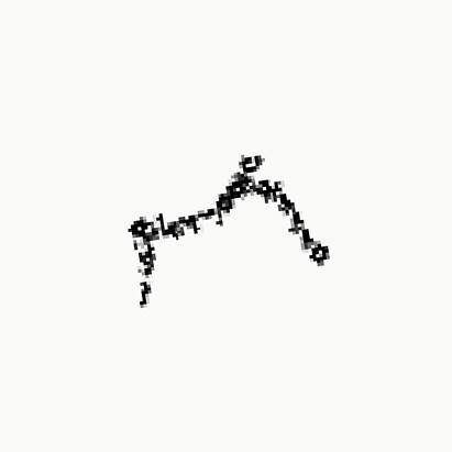 CCCCCOC(=O)Cn1cc(CNc2nc(NCc3cn(CCCNCCCNC4CCC(c5ccc6c(NC7CCNCC7)nc(N7CCC(C(=O)NCc8cn(CCCNCCCNC9CCCCC9)nn8)CC7)nc6c5)CC4)nn3)nc3ccccc23)nn1